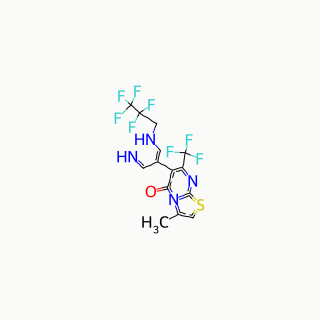 Cc1csc2nc(C(F)(F)F)c(/C(C=N)=C/NCC(F)(F)C(F)(F)F)c(=O)n12